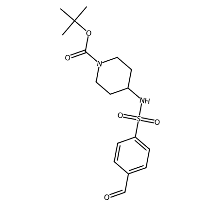 CC(C)(C)OC(=O)N1CCC(NS(=O)(=O)c2ccc(C=O)cc2)CC1